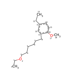 CCOCCCCCCc1cc(CC)ccc1OC